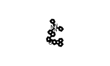 c1ccc(-c2nc(-c3ccccc3)nc(-c3cccc4c(-c5cccc6oc7cc8c(cc7c56)-c5cccc6cccc-8c56)cccc34)n2)cc1